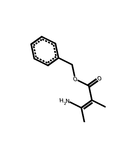 CC(N)=C(C)C(=O)OCc1ccccc1